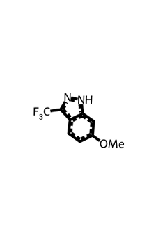 COc1ccc2c(C(F)(F)F)n[nH]c2c1